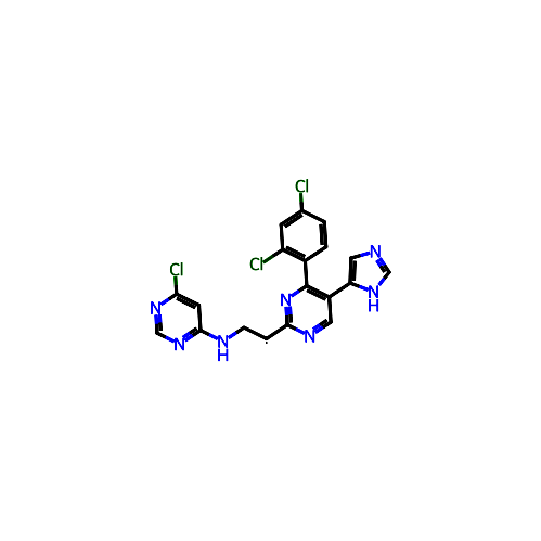 Clc1ccc(-c2nc([CH]CNc3cc(Cl)ncn3)ncc2-c2cnc[nH]2)c(Cl)c1